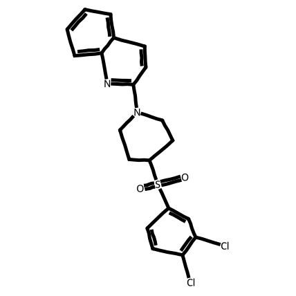 O=S(=O)(c1ccc(Cl)c(Cl)c1)C1CCN(c2ccc3ccccc3n2)CC1